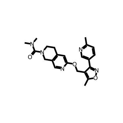 Cc1ccc(-c2noc(C)c2COc2cc3c(cn2)CN(C(=O)N(C)C)CC3)cn1